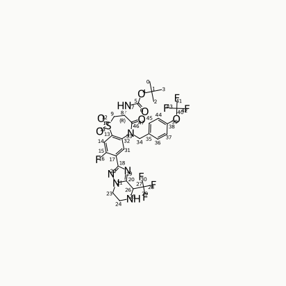 CC(C)(C)OC(=O)N[C@H]1CS(=O)(=O)c2cc(F)c(-c3nc4n(n3)CCNC4C(F)(F)F)cc2N(Cc2ccc(OC(F)(F)F)cc2)C1=O